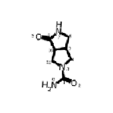 NC(=O)N1CC2CNC(=O)C2C1